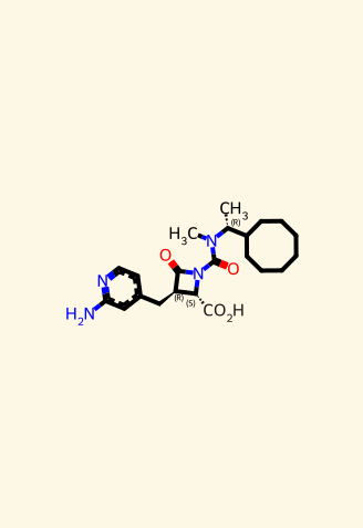 C[C@H](C1CCCCCCC1)N(C)C(=O)N1C(=O)[C@H](Cc2ccnc(N)c2)[C@H]1C(=O)O